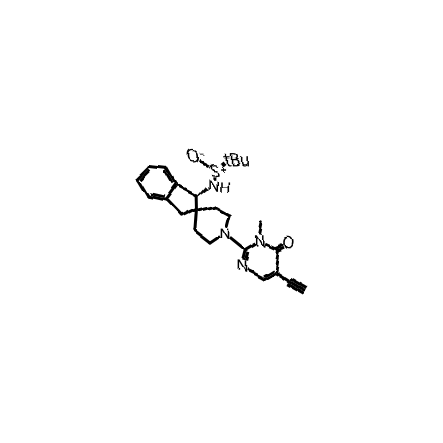 C#Cc1cnc(N2CCC3(CC2)Cc2ccccc2[C@H]3N[S+]([O-])C(C)(C)C)n(C)c1=O